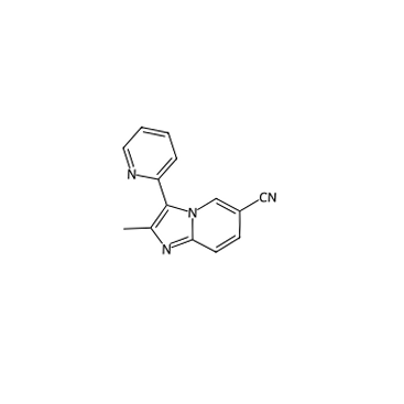 Cc1nc2ccc(C#N)cn2c1-c1ccccn1